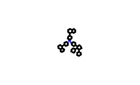 c1ccc(-c2cccc(-c3ccc(N(c4ccc(-c5cccc6ccccc56)cc4)c4ccc(-c5cccc6ccccc56)cc4)cc3)c2-c2ccccc2)cc1